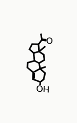 CC(=O)C1CCC2C3CCC4=CC(O)CCC4(C)C3CCC12C